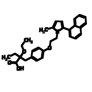 CCOC(CC)(Cc1ccc(OCCn2c(C)ccc2-c2cccc3ccccc23)cc1)C(=O)O